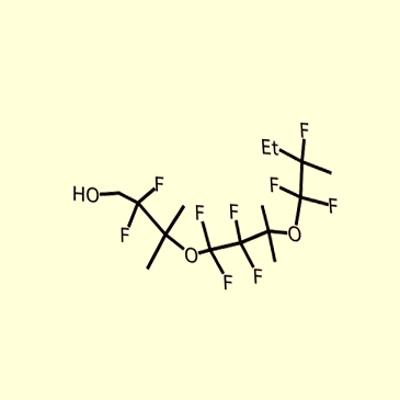 CCC(C)(F)C(F)(F)OC(C)(C)C(F)(F)C(F)(F)OC(C)(C)C(F)(F)CO